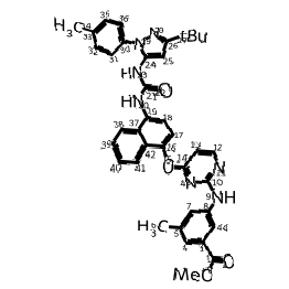 COC(=O)c1cc(C)cc(Nc2nccc(Oc3ccc(NC(=O)Nc4cc(C(C)(C)C)nn4-c4ccc(C)cc4)c4ccccc34)n2)c1